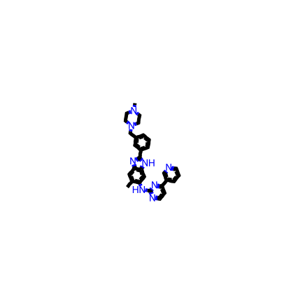 Cc1cc2nc(-c3cccc(CN4CCN(C)CC4)c3)[nH]c2cc1Nc1nccc(-c2cccnc2)n1